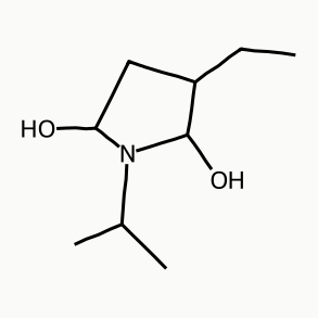 CCC1CC(O)N(C(C)C)C1O